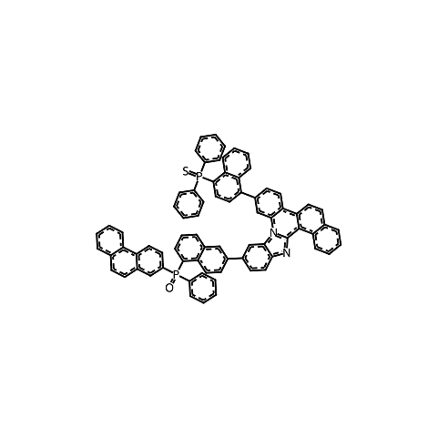 O=P(c1ccccc1)(c1ccc2c(ccc3ccccc32)c1)c1cccc2cc(-c3ccc4nc5c6c7ccccc7ccc6c6ccc(-c7ccc(P(=S)(c8ccccc8)c8ccccc8)c8ccccc78)cc6n5c4c3)ccc12